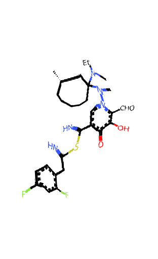 CCN(C)C1(N(C)n2cc(C(=N)SC(=N)Cc3ccc(F)cc3F)c(=O)c(O)c2C=O)CCC[C@H](C)C1